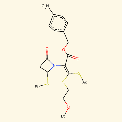 CCOCCSC(SC(C)=O)=C(C(=O)OCc1ccc([N+](=O)[O-])cc1)N1C(=O)CC1SCC